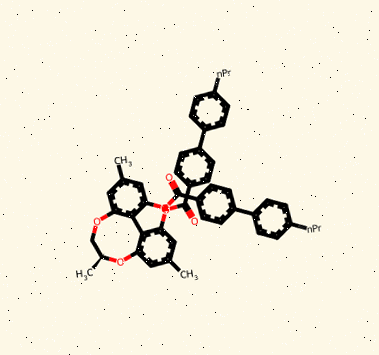 CCCc1ccc(-c2ccc(C(=O)Oc3cc(C)cc4c3-c3c(OC(=O)c5ccc(-c6ccc(CCC)cc6)cc5)cc(C)cc3O[C@@H](C)CO4)cc2)cc1